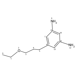 CCOCCCc1cc(N)cc(N)c1